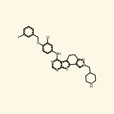 Fc1cccc(COc2ccc(Nc3ncnc4sc5c(c34)CCc3nn(CC4CCNCC4)cc3-5)cc2Cl)c1